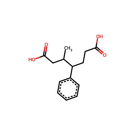 CC(CC(=O)O)C(CCC(=O)O)c1ccccc1